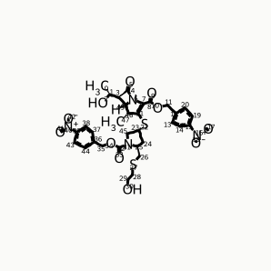 C[C@@H](O)[C@H]1C(=O)N2C(C(=O)OCc3ccc([N+](=O)[O-])cc3)=C(S[C@H]3C[C@@H](CSCCO)N(C(=O)OCc4ccc([N+](=O)[O-])cc4)C3)[C@H](C)[C@H]12